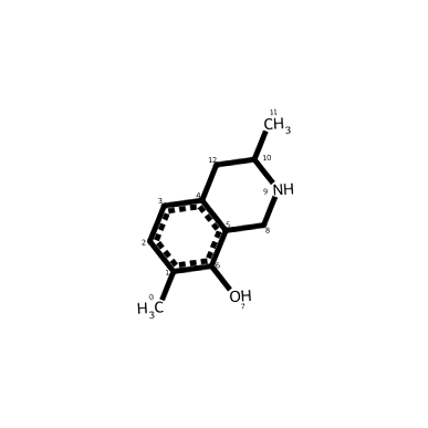 Cc1ccc2c(c1O)CNC(C)C2